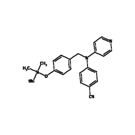 CC(C)(C)[Si](C)(C)Oc1ccc(CN(c2ccncc2)c2ccc(C#N)cc2)cc1